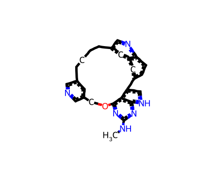 CNc1nc2c3c(c[nH]c3n1)-c1ccc3ncc(cc3c1)CCCCc1cncc(c1)CO2